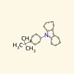 CC(C)(C)c1ccc(-n2c3ccccc3c3ccccc32)cc1